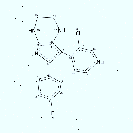 Fc1ccc(-c2nc3n(c2-c2ccncc2Cl)NCCN3)cc1